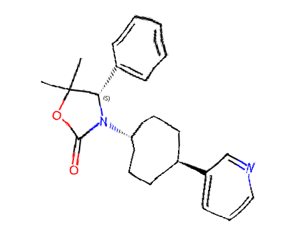 CC1(C)OC(=O)N([C@H]2CC[C@H](c3cccnc3)CC2)[C@H]1c1ccccc1